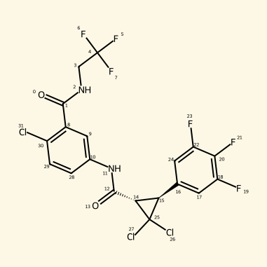 O=C(NCC(F)(F)F)c1cc(NC(=O)[C@@H]2[C@@H](c3cc(F)c(F)c(F)c3)C2(Cl)Cl)ccc1Cl